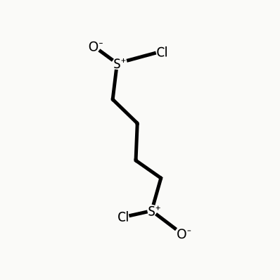 [O-][S+](Cl)CCCC[S+]([O-])Cl